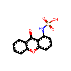 O=c1c2ccccc2oc2cccc(NS(=O)(=O)O)c12